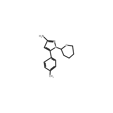 Cc1ccc(-c2cc(N)nn2C2CCCCO2)cc1